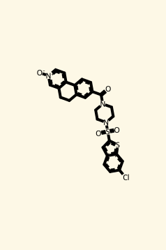 O=C(c1ccc2c(c1)CCc1c[n+]([O-])ccc1-2)N1CCN(S(=O)(=O)c2cc3ccc(Cl)cc3s2)CC1